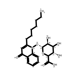 CCCCCCCc1cc(=O)c2ccccc2n1O[C@H]1OC(C(=O)O)[C@@H](O)C(O)[C@@H]1O